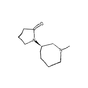 CN1CCC[C@@H](N2CCCC2=O)C1